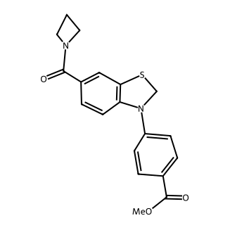 COC(=O)c1ccc(N2CSc3cc(C(=O)N4CCC4)ccc32)cc1